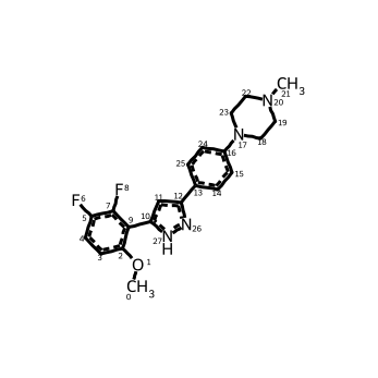 COc1ccc(F)c(F)c1-c1cc(-c2ccc(N3CCN(C)CC3)cc2)n[nH]1